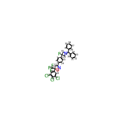 FC1(c2ccc(C3=NOC(c4cc(Cl)c(Cl)c(Cl)c4)(C(F)(F)F)C3)cc2)CN(C(c2ccccc2)c2ccccc2)C1